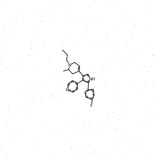 CCCN1CC=C(c2c[nH]c(-c3ccc(F)cc3)c2-c2ccncc2)CC1C